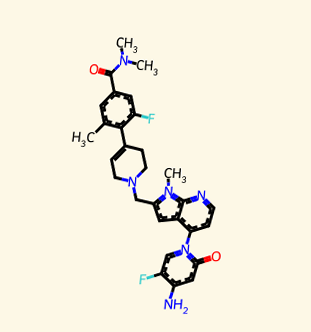 Cc1cc(C(=O)N(C)C)cc(F)c1C1=CCN(Cc2cc3c(-n4cc(F)c(N)cc4=O)ccnc3n2C)CC1